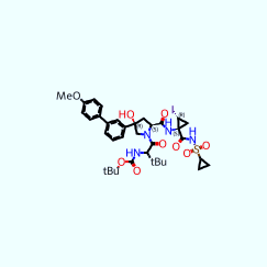 COc1ccc(-c2cccc([C@]3(O)C[C@@H](C(=O)N[C@]4(C(=O)NS(=O)(=O)C5CC5)C[C@H]4I)N(C(=O)C(NC(=O)OC(C)(C)C)C(C)(C)C)C3)c2)cc1